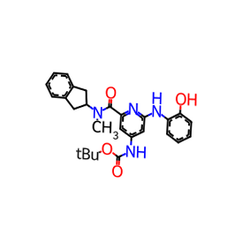 CN(C(=O)c1cc(NC(=O)OC(C)(C)C)cc(Nc2ccccc2O)n1)C1Cc2ccccc2C1